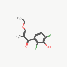 CCOC=C(C)C(=O)c1ccc(F)c(O)c1F